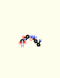 CC(C)(NC(=O)Nc1ccc2c(c1)CN(C1CCC(=O)NC1=O)C2=O)c1ccc(-c2ccccc2C#N)cc1